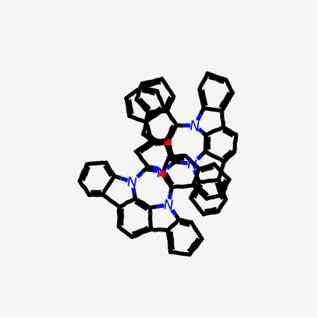 c1ccc(-c2cc(-n3c4ccccc4c4ccc5c6ccccc6n(-c6cccc7ccccc67)c5c43)nc(-n3c4ccccc4c4ccc5c6ccccc6n(-c6cccc7ccccc67)c5c43)c2)cc1